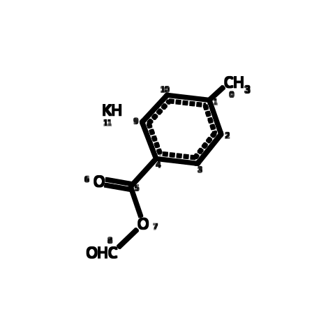 Cc1ccc(C(=O)OC=O)cc1.[KH]